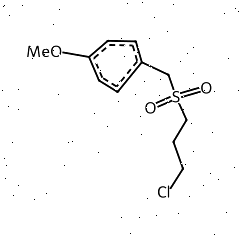 COc1ccc(CS(=O)(=O)CCCCl)cc1